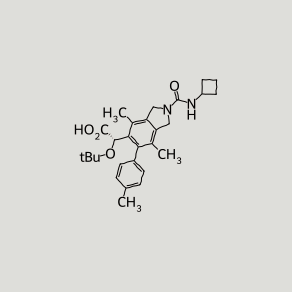 Cc1ccc(-c2c(C)c3c(c(C)c2[C@H](OC(C)(C)C)C(=O)O)CN(C(=O)NC2CCC2)C3)cc1